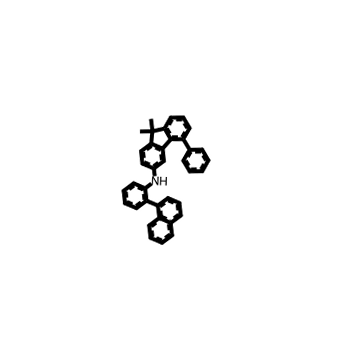 CC1(C)c2ccc(Nc3ccccc3-c3cccc4ccccc34)cc2-c2c(-c3ccccc3)cccc21